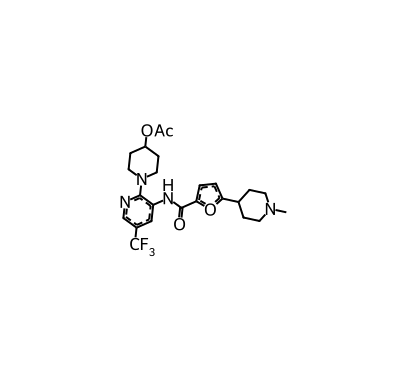 CC(=O)OC1CCN(c2ncc(C(F)(F)F)cc2NC(=O)c2ccc(C3CCN(C)CC3)o2)CC1